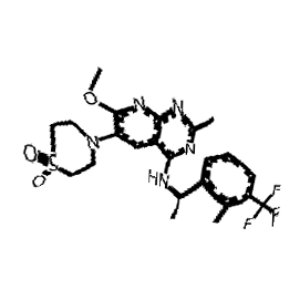 COc1nc2nc(C)nc(N[C@H](C)c3cccc(C(F)(F)F)c3C)c2cc1N1CCS(=O)(=O)CC1